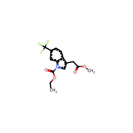 CCOC(=O)n1cc(CC(=O)OC)c2ccc(C(F)(F)F)cc21